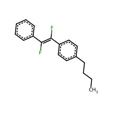 CCCCc1ccc(/C(F)=C(\F)c2[c]cccc2)cc1